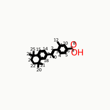 CC(=Cc1ccc(C(=O)O)cc1C)c1ccc2c(c1)C(C)(C)CCC2(C)C